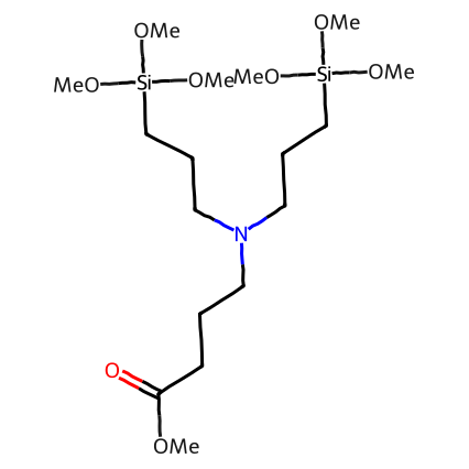 COC(=O)CCCN(CCC[Si](OC)(OC)OC)CCC[Si](OC)(OC)OC